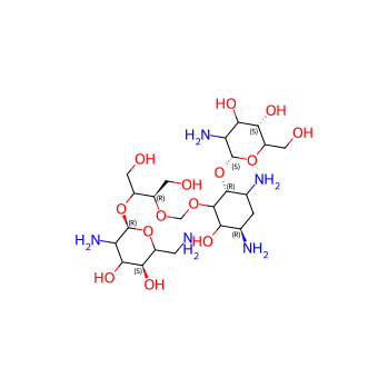 NCC1O[C@H](OC(CO)[C@@H](CO)OCOC2C(O)[C@H](N)CC(N)[C@H]2O[C@H]2OC(CO)[C@@H](O)C(O)C2N)C(N)C(O)[C@@H]1O